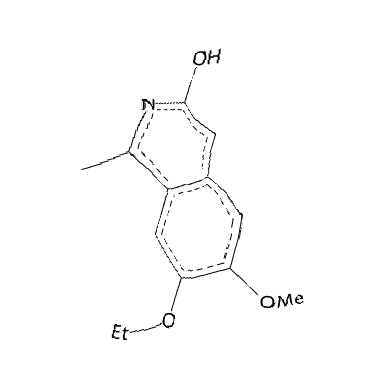 CCOc1cc2c(C)nc(O)cc2cc1OC